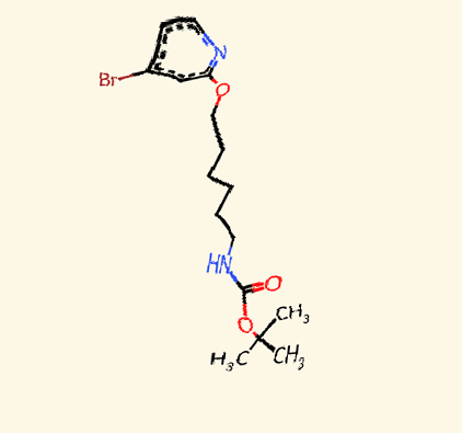 CC(C)(C)OC(=O)NCCCCCCOc1cc(Br)ccn1